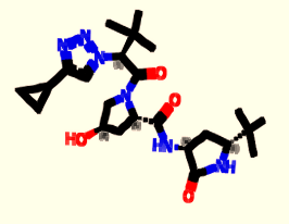 CC(C)(C)[C@H]1C[C@@H](NC(=O)[C@@H]2C[C@@H](O)CN2C(=O)[C@@H](n2cc(C3CC3)nn2)C(C)(C)C)C(=O)N1